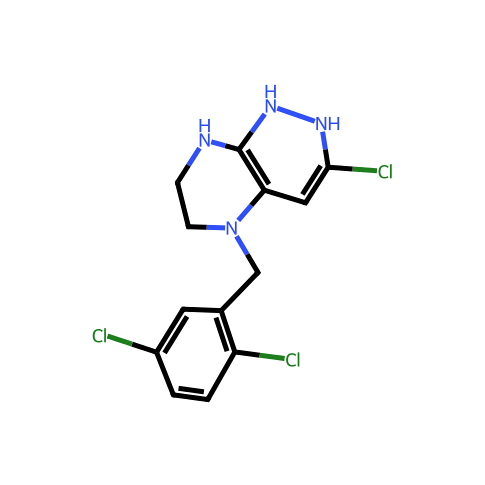 ClC1=CC2=C(NCCN2Cc2cc(Cl)ccc2Cl)NN1